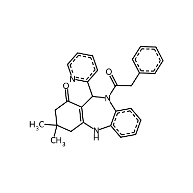 CC1(C)CC(=O)C2=C(C1)Nc1ccccc1N(C(=O)Cc1ccccc1)C2c1ccccn1